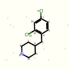 Clc1ccc(CC2CC[N]CC2)c(Cl)c1